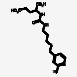 O=C(O)CCC(NC(=O)NCCCSCc1ccnc([18F])c1)C(=O)O